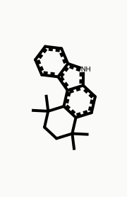 CC1(C)CCC(C)(C)c2c1ccc1[nH]c3ccccc3c21